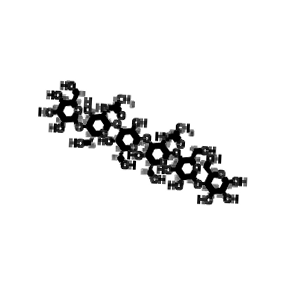 CC(=O)N[C@H]1[C@H](O[C@H]2[C@@H](O)[C@@H](CO)O[C@@H](O[C@H]3[C@@H](O)[C@@H](CO)O[C@@H](O[C@@H]4[C@H](O)[C@@H](O)[C@H](O[C@H]5[C@H](O)[C@@H](O)[C@H](O)O[C@@H]5CO)O[C@@H]4CO)[C@@H]3NC(C)=O)[C@@H]2O)O[C@H](CO)[C@H](O[C@@H]2O[C@H](CO)[C@H](O)[C@H](O)[C@H]2O)[C@@H]1O